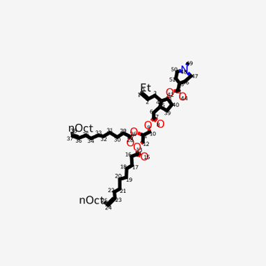 CC/C=C\CC1C(CC(=O)OCC(COC(=O)CCCCCCC/C=C\CCCCCCCC)OC(=O)CCCCCCC/C=C\CCCCCCCC)CCC1OC(=O)C1CCN(C)CC1